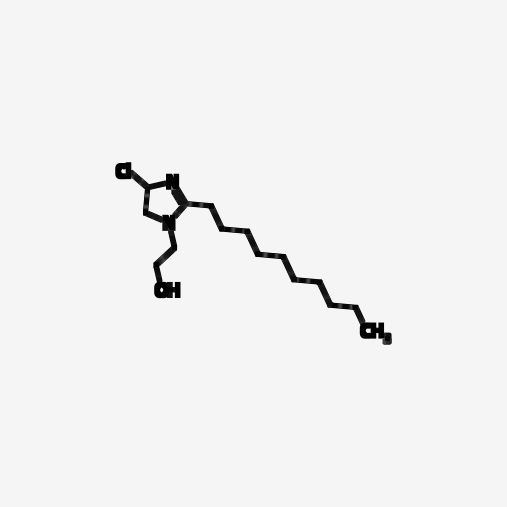 CCCCCCCCCCC1=NC(Cl)CN1CCO